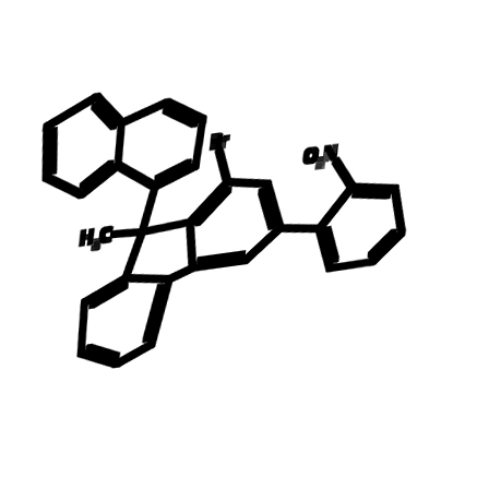 CC1(c2cccc3ccccc23)c2ccccc2-c2cc(-c3ccccc3[N+](=O)[O-])cc(Br)c21